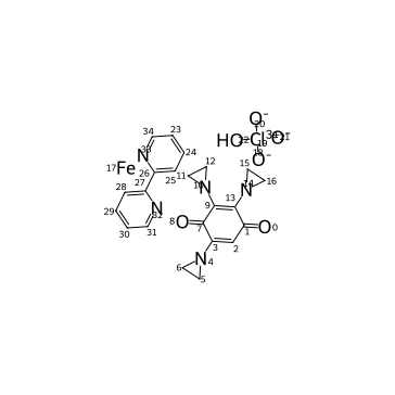 O=C1C=C(N2CC2)C(=O)C(N2CC2)=C1N1CC1.[Fe].[O-][Cl+3]([O-])([O-])O.c1ccc(-c2ccccn2)nc1